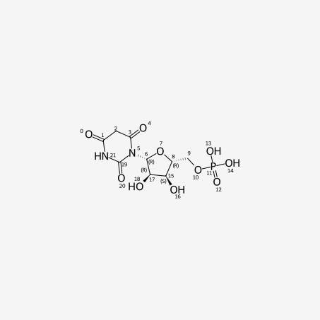 O=C1CC(=O)N([C@@H]2O[C@H](COP(=O)(O)O)[C@@H](O)[C@H]2O)C(=O)N1